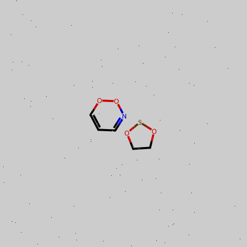 C1=COON=C1.C1COSO1